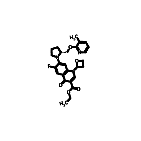 CCOC(=O)c1cn(C2CCO2)c2cc(N3CCC[C@@H]3COc3ncccc3C)c(F)cc2c1=O